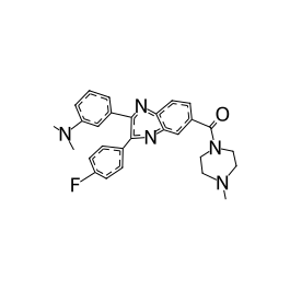 CN1CCN(C(=O)c2ccc3nc(-c4cccc(N(C)C)c4)c(-c4ccc(F)cc4)nc3c2)CC1